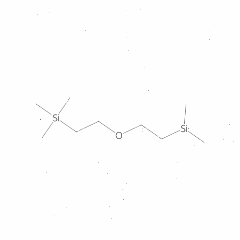 C[Si](C)CCOCC[Si](C)(C)C